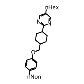 CCCCCCCCCc1ccc(OCC2CCC(c3ncc(CCCCCC)cn3)CC2)cc1